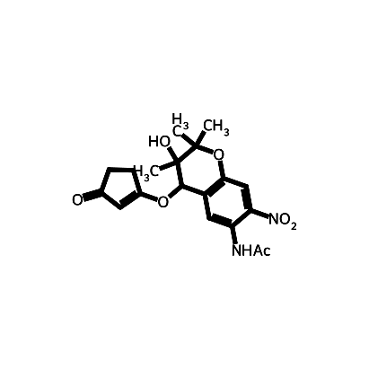 CC(=O)Nc1cc2c(cc1[N+](=O)[O-])OC(C)(C)C(C)(O)C2OC1=CC(=O)CC1